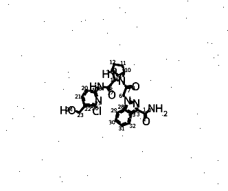 NC(=O)c1nn(CC(=O)N2C3CC[C@@H](C3)C2C(=O)Nc2ccc(CO)c(Cl)n2)c2ccccc12